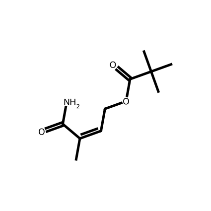 CC(=CCOC(=O)C(C)(C)C)C(N)=O